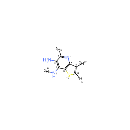 [2H]Nc1c(N)c([2H])nc2c([2H])c([2H])sc12